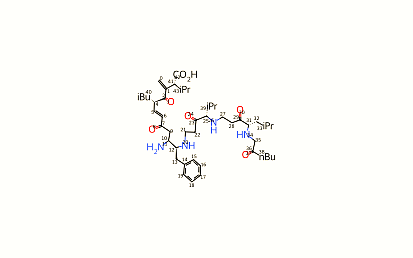 C=C(C(=O)[C@@H](/C=C/C(=O)C[C@H](N)[C@H](Cc1ccccc1)NCCC(=O)[C@@H](NCCC(=O)[C@H](CC(C)C)NCC(=O)CCCC)C(C)C)[C@@H](C)CC)[C@H](C(=O)O)C(C)C